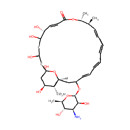 C[C@H]1/C=C/C=C/C=C/C=C/C(O[C@@H]2O[C@H](C)[C@@H](O)[C@H](N)[C@@H]2O)C[C@@H]2O[C@](O)(CC(O)CC(O)[C@H](O)/C=C/C(=O)O[C@@H]1C)C[C@H](O)[C@H]2C(=O)O